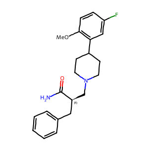 COc1ccc(F)cc1C1CCN(C[C@@H](Cc2ccccc2)C(N)=O)CC1